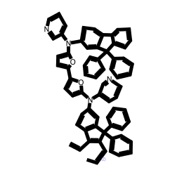 C=CC1=C(/C=C\C)C(c2ccccc2)(c2ccccc2)c2cc(N(c3cccnc3)c3ccc(-c4ccc(N(c5cccnc5)c5ccc6c(c5)C(c5ccccc5)(c5ccccc5)c5ccccc5-6)o4)o3)ccc21